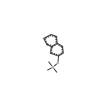 C[Si](C)(C)Oc1ccc2[c]cccc2c1